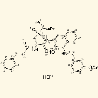 CCCC(CCC)S(=O)(=O)CC(NC(=O)OCc1ccccc1)C(=O)N[C@@H](Cc1ccccc1)[C@H](O)CNCc1cccc(OC)c1.Cl